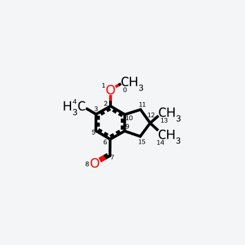 COc1c(C)cc(C=O)c2c1CC(C)(C)C2